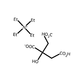 CC[N+](CC)(CC)CC.O=C(O)CC(O)(CC(=O)O)C(=O)[O-]